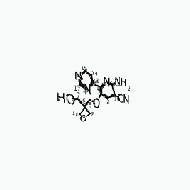 N#Cc1cc(OCC2(CO)COC2)c(-c2ccncn2)nc1N